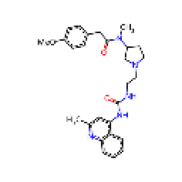 COc1ccc(CC(=O)N(C)C2CCN(CCNC(=O)Nc3cc(C)nc4ccccc34)C2)cc1